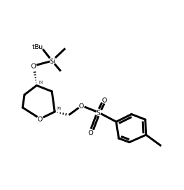 Cc1ccc(S(=O)(=O)OC[C@H]2C[C@@H](O[Si](C)(C)C(C)(C)C)CCO2)cc1